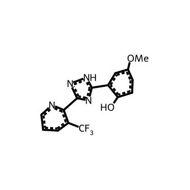 COc1ccc(O)c(-c2nc(-c3ncccc3C(F)(F)F)n[nH]2)c1